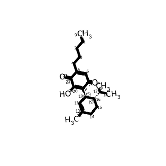 CCCCCC1=CC(=O)C([C@@H]2C=C(C)CC[C@H]2C(C)C)=C(O)C1=O